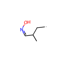 [CH2]CC(C)/C=N\O